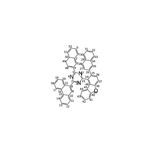 C1=CC2=CC(c3nc(-c4cc5ccccc5c5ccccc45)nc(-c4c(-c5ccc6ccccc6c5)ccc5oc6ccccc6c45)n3)=CCC2C=C1